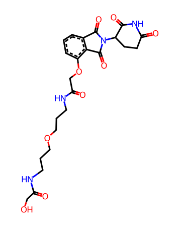 O=C(CO)NCCCOCCCNC(=O)COc1cccc2c1C(=O)N(C1CCC(=O)NC1=O)C2=O